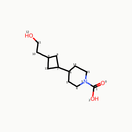 O=C(O)N1CCC(C2CC(CCO)C2)CC1